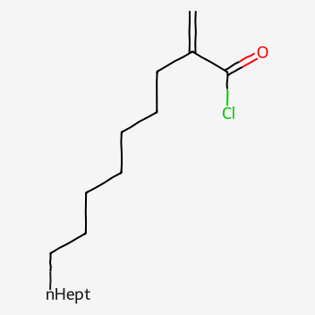 C=C(CCCCCCCCCCCCCC)C(=O)Cl